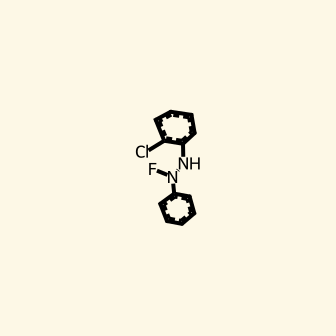 FN(Nc1ccccc1Cl)c1ccccc1